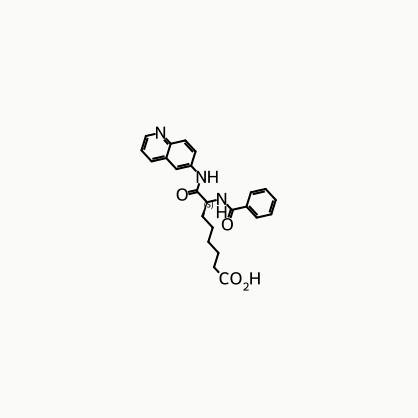 O=C(O)CCCCC[C@H](NC(=O)c1ccccc1)C(=O)Nc1ccc2ncccc2c1